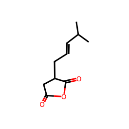 CC(C)/C=C/CC1CC(=O)OC1=O